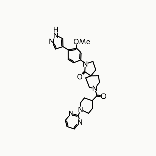 COc1cc(N2CCC3(CCN(C(=O)C4CCN(c5ncccn5)CC4)CC3)C2=O)ccc1-c1cn[nH]c1